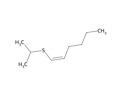 CCCC/C=C\SC(C)C